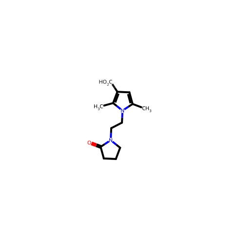 Cc1cc(C(=O)O)c(C)n1CCN1CCCC1=O